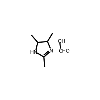 CC1=NC(C)C(C)N1.O=CO